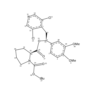 COc1ccc([C@H](Cc2c(Cl)cncc2Cl)OC(=O)[C@@H]2CCCCN2C(=O)OC(C)(C)C)cc1OC